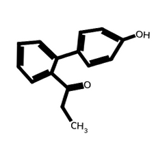 CCC(=O)c1ccccc1-c1ccc(O)cc1